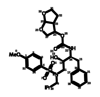 COc1ccc(S(=O)(=O)N(CC(C)C)C[C@@H](O)[C@H](Cc2ccccc2)NC(=O)OC2COC3OCCC23)cc1